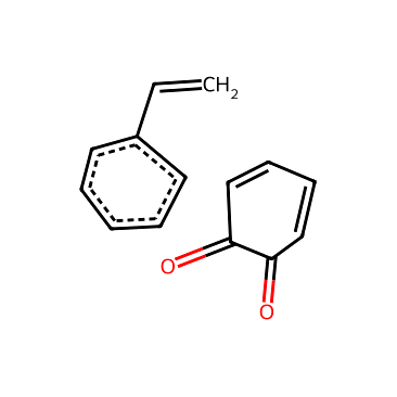 C=Cc1ccccc1.O=C1C=CC=CC1=O